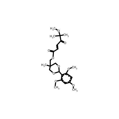 COc1cc(OC)c(C2OCC(C)(COC(=O)/C=C/C(=O)C(C)(C)OC)CO2)c(OC)c1